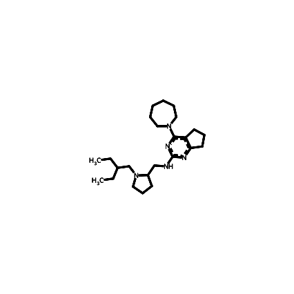 CCC(CC)CN1CCCC1CNc1nc2c(c(N3CCCCCC3)n1)CCC2